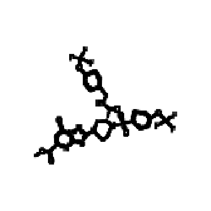 COC(=O)c1cc(=O)n2nc(N3CCN(S(=O)(=O)c4ccc(OC(F)(F)F)cc4)[C@@H](C(=O)NCc4ccc(OC(F)(F)F)cc4)C3)sc2n1